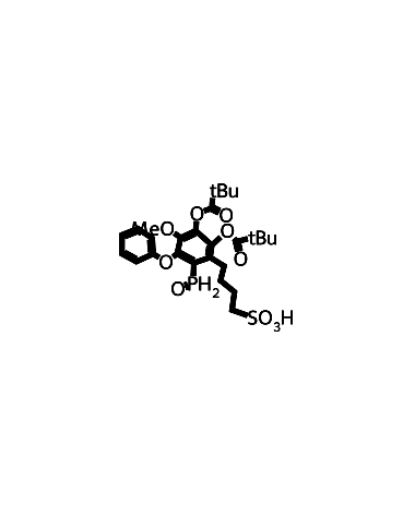 COc1c(OC(=O)C(C)(C)C)c(OC(=O)C(C)(C)C)c(CCCCS(=O)(=O)O)c([PH2]=O)c1Oc1ccccc1